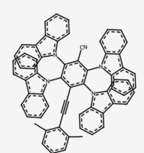 Cc1cccc(C)c1C#Cc1c(-n2c3ccccc3c3ccccc32)c(-n2c3ccccc3c3ccccc32)c(C#N)c(-n2c3ccccc3c3ccccc32)c1-n1c2ccccc2c2ccccc21